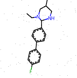 CCN1CC(C)CNC1c1ccc(-c2ccc(F)cc2)cc1